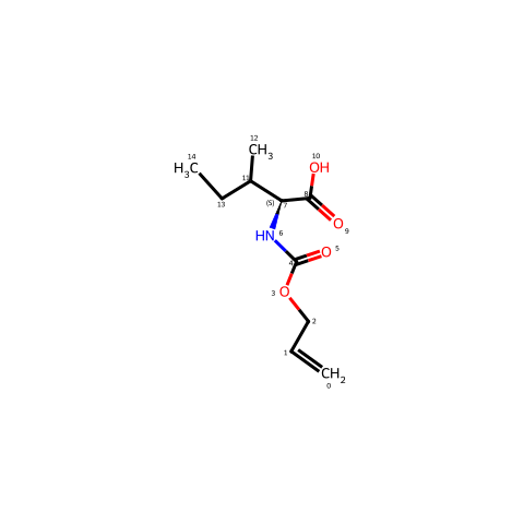 C=CCOC(=O)N[C@H](C(=O)O)C(C)CC